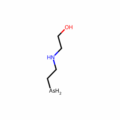 OCCNCC[AsH2]